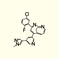 Cn1cc(-c2cncc(C3=CC(c4cc(Cl)ccc4F)=NC4=NC=CC=C3C4)c2)cn1